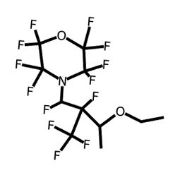 CCOC(C)C(F)(C(F)N1C(F)(F)C(F)(F)OC(F)(F)C1(F)F)C(F)(F)F